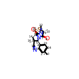 Cc1ccc([C@@H]2N3C(=O)[C@]4(C)SS[C@@]3(C[C@]2(C)C#N)C(=O)N4C)cc1